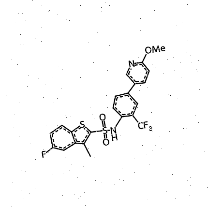 COc1ccc(-c2ccc(NS(=O)(=O)c3sc4ccc(F)cc4c3C)c(C(F)(F)F)c2)cn1